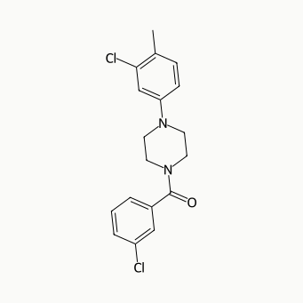 Cc1ccc(N2CCN(C(=O)c3cccc(Cl)c3)CC2)cc1Cl